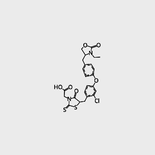 CCN1C(=O)OCC1Cc1ccc(Oc2ccc(CC3SC(=S)N(CC(=O)O)C3=O)c(Cl)c2)cc1